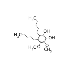 CCCCCc1c(O)c(O)c(OC)c(OC)c1CCCCC